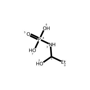 CCC(O)NP(=O)(O)O